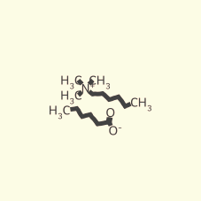 CCCCCC(=O)[O-].CCCCCC[N+](C)(C)C